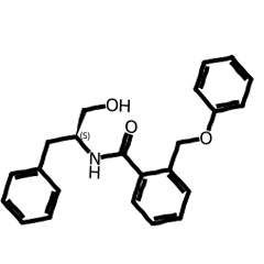 O=C(N[C@H](CO)Cc1ccccc1)c1ccccc1COc1ccccc1